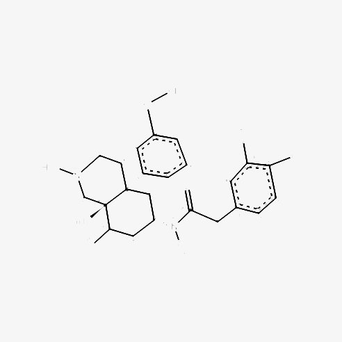 COc1cccc([C@@]23CCN(C)C[C@H]2C(O)C[C@@H](N(C)C(=O)Cc2ccc(Cl)c(Cl)c2)C3)c1